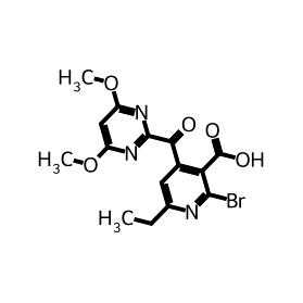 CCc1cc(C(=O)c2nc(OC)cc(OC)n2)c(C(=O)O)c(Br)n1